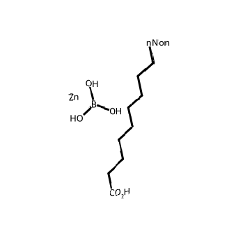 CCCCCCCCCCCCCCCCCC(=O)O.OB(O)O.[Zn]